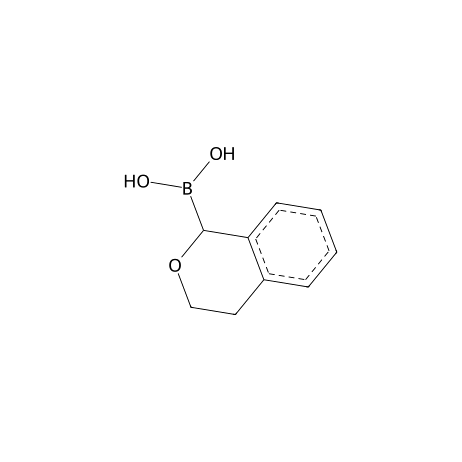 OB(O)C1OCCc2ccccc21